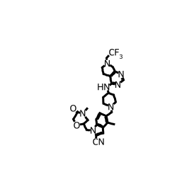 Cc1c(CN2CCC(Nc3ncnc4c3CCN(CC(F)(F)F)C4)CC2)ccc2c1cc(C#N)n2CC1CN(C)C(=O)CO1